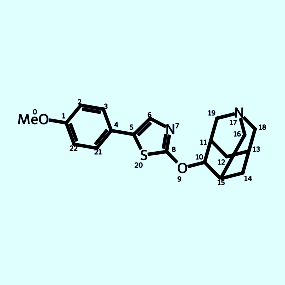 COc1ccc(-c2cnc(OC3C4CC5CC3CN(C5)C4)s2)cc1